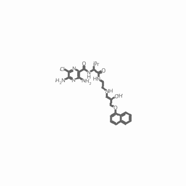 CC(C)C(NC(=O)c1nc(Cl)c(N)nc1N)C(=O)NCCNCC(O)COc1cccc2ccccc12